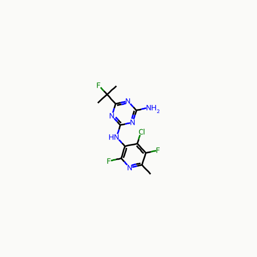 Cc1nc(F)c(Nc2nc(N)nc(C(C)(C)F)n2)c(Cl)c1F